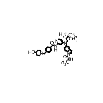 CNC(=O)n1ccc2cc(N(CCC(C)(C)C)c3ccnc(NC(=O)c4ccc(CN5CCC(O)CC5)cc4)c3)ccc21